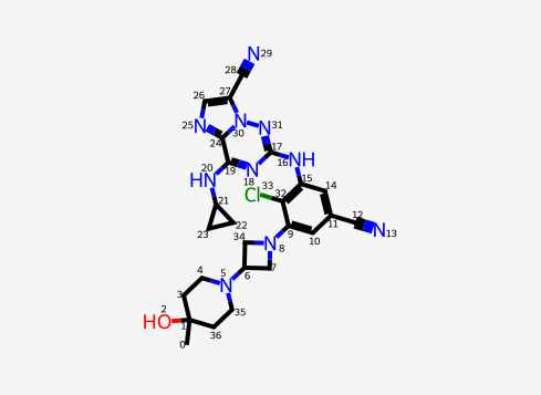 CC1(O)CCN(C2CN(c3cc(C#N)cc(Nc4nc(NC5CC5)c5ncc(C#N)n5n4)c3Cl)C2)CC1